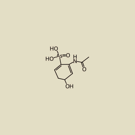 CC(=O)NC1=CC(O)CC=C1[As](=O)(O)O